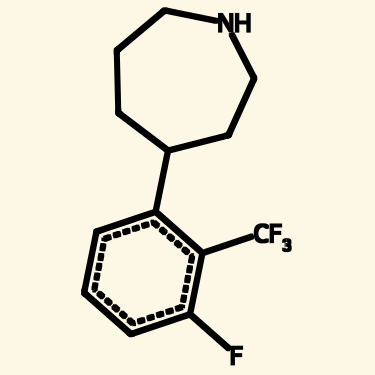 Fc1cccc(C2CCCNCC2)c1C(F)(F)F